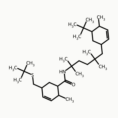 CC1C=CC(CSC(C)(C)C)CC1C(=O)NC(C)(C)CCC(C)(C)CC1C=CC(C)C(C(C)(C)C)C1